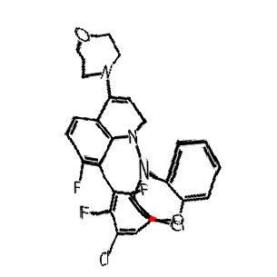 Fc1ccc2c(c1-c1c(F)c(Cl)cc(Cl)c1F)N(N1CCOc3ccccc31)CC=C2N1CCOCC1